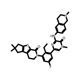 CCc1c(-c2cn(C)c(=O)c(Nc3ccc4c(c3)CCN(C)C4)n2)cc(F)cc1N1CCc2c(sc3c2CC(C)(C)C3)C1=O